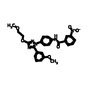 COCCOc1nc(-c2cccc(OC)c2)n(-c2ccc(NC(=O)c3cccc([N+](=O)[O-])c3)cc2)n1